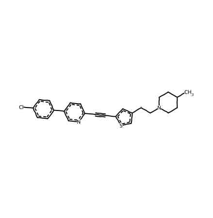 CC1CCN(C[CH]c2csc(C#Cc3ccc(-c4ccc(Cl)cc4)cn3)c2)CC1